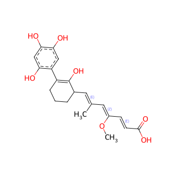 COC(=C\C(C)=C\C1CCCC(c2cc(O)c(O)cc2O)=C1O)/C=C/C(=O)O